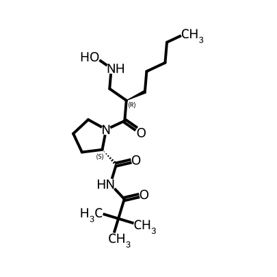 CCCCC[C@H](CNO)C(=O)N1CCC[C@H]1C(=O)NC(=O)C(C)(C)C